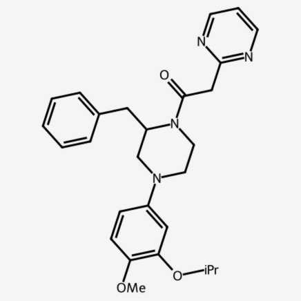 COc1ccc(N2CCN(C(=O)Cc3ncccn3)C(Cc3ccccc3)C2)cc1OC(C)C